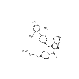 CCCOCCN1CCN(C(=O)c2[nH]c3ccccc3c2CN2CCC(c3c(C)cccc3C)CC2)CC1.Cl.Cl